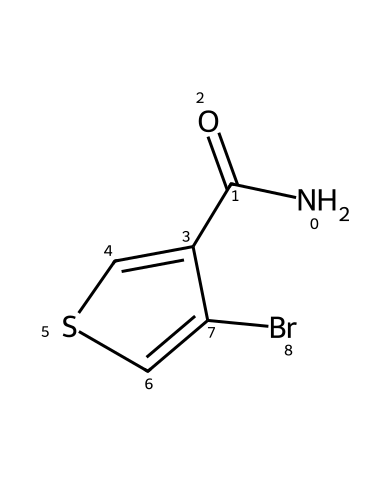 NC(=O)c1cscc1Br